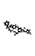 C[C@@H](CO)Oc1cc(Oc2ccc3c(c2)OCCN(Cc2ccccc2)S3(=O)=O)cc(C(=O)Nc2ccn(C)n2)c1